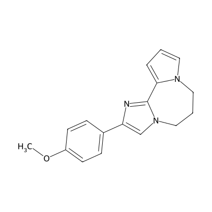 COc1ccc(-c2cn3c(n2)-c2cccn2CCC3)cc1